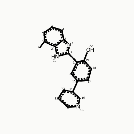 Cc1cccc2nc(-c3cc(-c4cccnc4)ccc3O)[nH]c12